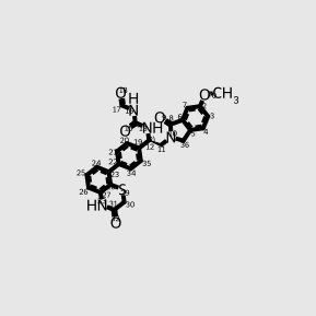 COc1ccc2c(c1)C(=O)N(C[C@H](NC(=O)NC=O)c1ccc(-c3cccc4c3SCC(=O)N4)cc1)C2